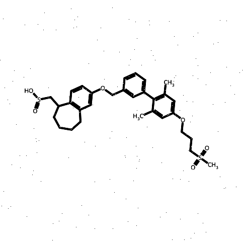 Cc1cc(OCCCS(C)(=O)=O)cc(C)c1-c1cccc(COc2ccc3c(c2)CCCCC3CS(=O)O)c1